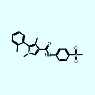 Cc1ccccc1-c1c(C)c(C(=O)Nc2ccc(S(C)(=O)=O)cc2)cn1C